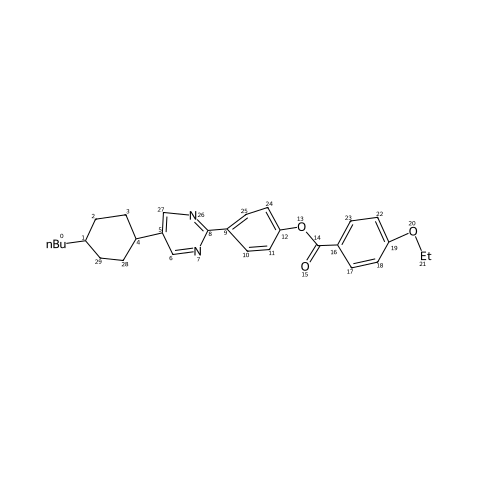 CCCCC1CCC(c2cnc(-c3ccc(OC(=O)c4ccc(OCC)cc4)cc3)nc2)CC1